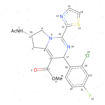 COC(=O)C1=C2C[C@H](NC(C)=O)CN2C(c2nccs2)=NC1c1ccc(F)cc1Cl